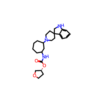 O=C(NC1CCCCC(N2CCC3(CC2)CNc2ccccc23)C1)O[C@@H]1CCOC1